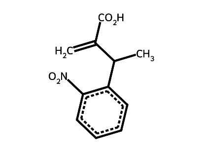 C=C(C(=O)O)C(C)c1ccccc1[N+](=O)[O-]